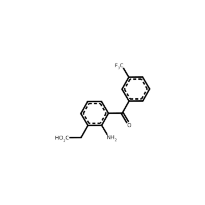 Nc1c(CC(=O)O)cccc1C(=O)c1cccc(C(F)(F)F)c1